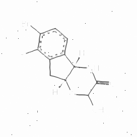 CC1O[C@@H]2Cc3c(ccc(Br)c3F)[C@@H]2NC1=O